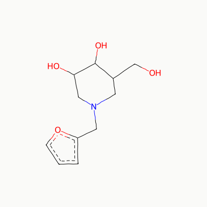 OCC1CN(Cc2ccco2)CC(O)C1O